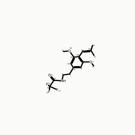 COc1cc(CCNC(=O)C(F)(F)F)cc(OC)c1C=C(C)C